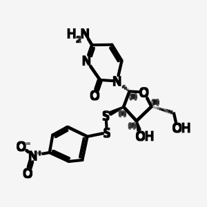 Nc1ccn([C@@H]2O[C@H](CO)[C@@H](O)[C@H]2SSc2ccc([N+](=O)[O-])cc2)c(=O)n1